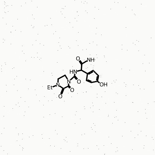 CCN1CCN(C(=O)NC(C([NH])=O)c2ccc(O)cc2)C(=O)C1=O